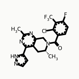 Cc1nc2c(c(-c3ccn[nH]3)n1)C[C@@H](C)N(C(=O)c1ccc(F)c(C(F)(F)F)c1Cl)C2